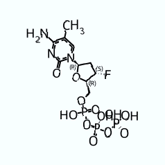 Cc1cn([C@H]2C[C@H](F)[C@@H](COP(=O)(O)OP(=O)(O)OP(=O)(O)O)O2)c(=O)nc1N